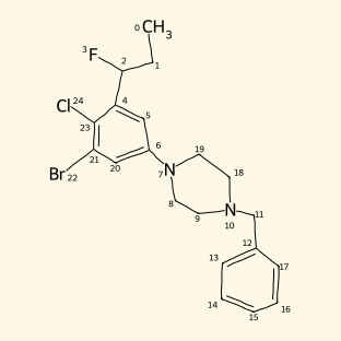 CCC(F)c1cc(N2CCN(Cc3ccccc3)CC2)cc(Br)c1Cl